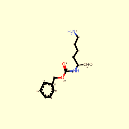 NCCCC[C@@H](C=O)NC(=O)OCc1ccccc1